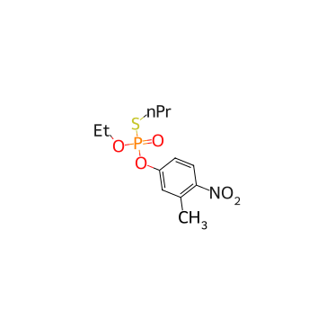 CCCSP(=O)(OCC)Oc1ccc([N+](=O)[O-])c(C)c1